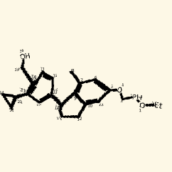 CCOPCOc1cc(C)c2c(c1)CCC2c1ccc(CO)c(C2CC2)c1